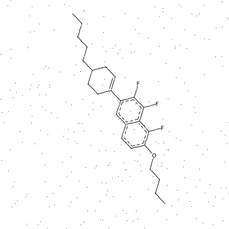 CCCCCC1CC=C(c2cc3ccc(OCCCC)c(F)c3c(F)c2F)CC1